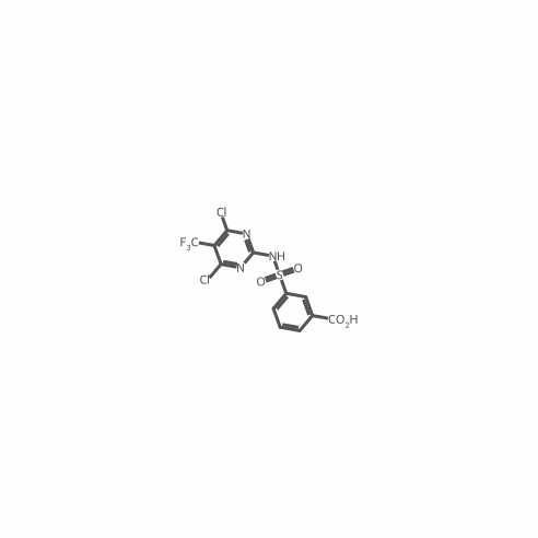 O=C(O)c1cccc(S(=O)(=O)Nc2nc(Cl)c(C(F)(F)F)c(Cl)n2)c1